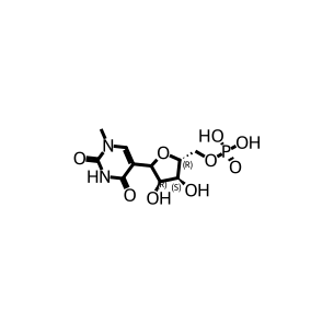 Cn1cc(C2O[C@H](COP(=O)(O)O)[C@@H](O)[C@H]2O)c(=O)[nH]c1=O